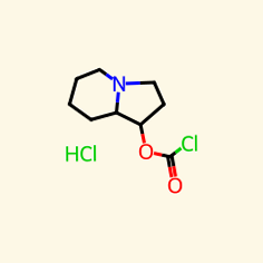 Cl.O=C(Cl)OC1CCN2CCCCC12